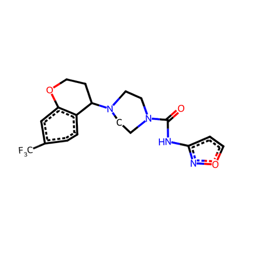 O=C(Nc1ccon1)N1CCN(C2CCOc3cc(C(F)(F)F)ccc32)CC1